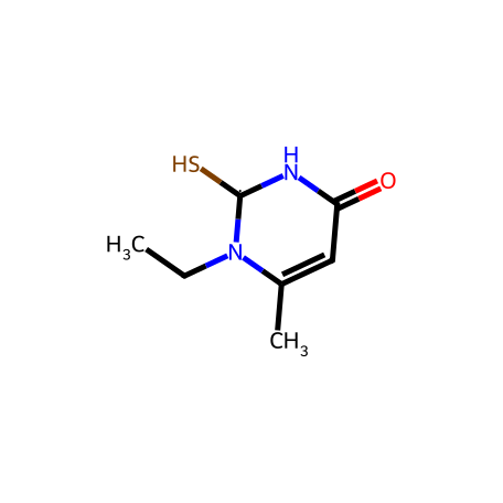 CCN1[C](S)NC(=O)C=C1C